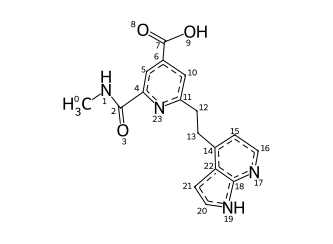 CNC(=O)c1cc(C(=O)O)cc(CCc2ccnc3[nH]ccc23)n1